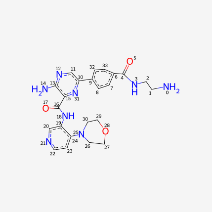 NCCNC(=O)c1ccc(-c2cnc(N)c(C(=O)Nc3cnccc3N3CCOCC3)n2)cc1